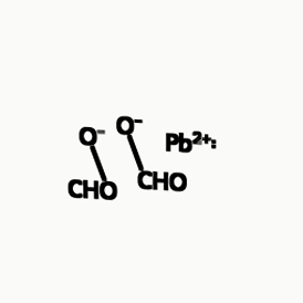 O=C[O-].O=C[O-].[Pb+2]